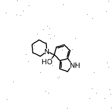 OC1(N2CCCCC2)C=CC=C2NCC=C21